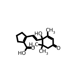 CC1=CC(=O)CC(C)(C)C1(O)C=CC1=C(C(=O)O)CCC1